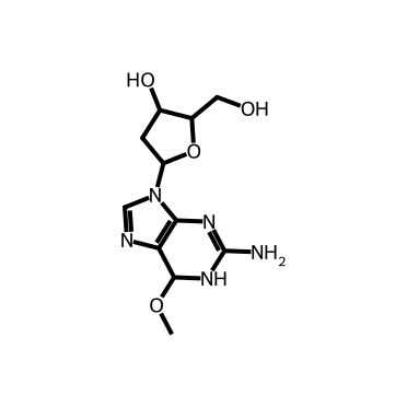 COC1NC(N)=Nc2c1ncn2C1CC(O)C(CO)O1